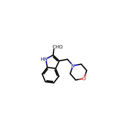 O=Cc1[nH]c2ccccc2c1CN1CCOCC1